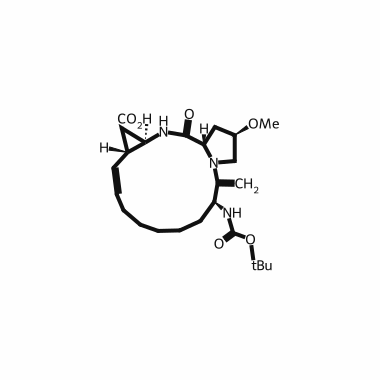 C=C1[C@@H](NC(=O)OC(C)(C)C)CCCCC/C=C\[C@@H]2C[C@@]2(C(=O)O)NC(=O)[C@@H]2C[C@@H](OC)CN12